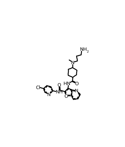 CN(CCCN)C1CCC(C(=O)Nc2c(C(=O)Nc3ccc(Cl)cn3)oc3cccnc23)CC1